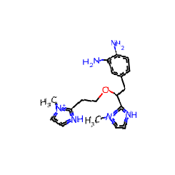 C[n+]1cc[nH]c1CCOC(Cc1ccc(N)c(N)c1)c1[nH]cc[n+]1C